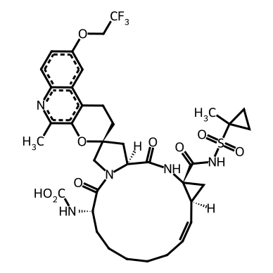 Cc1nc2ccc(OCC(F)(F)F)cc2c2c1O[C@]1(CC2)C[C@H]2C(=O)N[C@]3(C(=O)NS(=O)(=O)C4(C)CC4)C[C@H]3/C=C\CCCCC[C@H](NC(=O)O)C(=O)N2C1